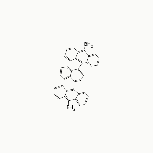 Bc1c2ccccc2c(-c2ccc(-c3c4ccccc4c(B)c4ccccc34)c3ccccc23)c2ccccc12